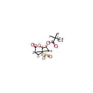 CCC(C)(C)C(=O)OC1C2OC(=O)C3CC2S(=O)(=O)C31